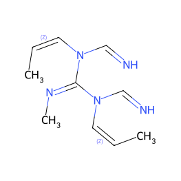 C/C=C\N(C=N)C(=NC)N(C=N)/C=C\C